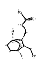 O=C(O)OC[C@H]1[C@@H](CO)[C@H]2CC[C@@H]1O2